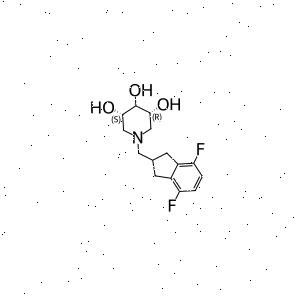 OC1[C@H](O)CN(CC2Cc3c(F)ccc(F)c3C2)C[C@@H]1O